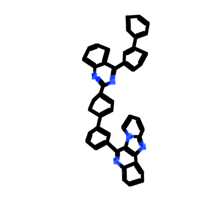 C1=C(c2cccc(-c3nc4ccccc4c4nc5ccccn5c34)c2)CCC(c2nc(-c3cccc(-c4ccccc4)c3)c3ccccc3n2)=C1